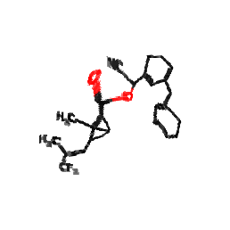 C/C(=C\C1C2C(C(=O)OC(C#N)C3=CC(CC4=CC=CCC4)=CCC3)C12C)C(F)(F)F